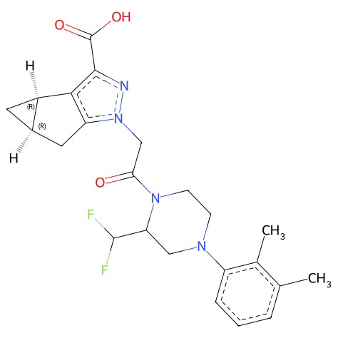 Cc1cccc(N2CCN(C(=O)Cn3nc(C(=O)O)c4c3C[C@H]3C[C@@H]43)C(C(F)F)C2)c1C